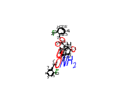 N[C@@]1(C(=O)OCc2ccccc2F)CC(=O)[C@H]2[C@H](C(=O)OCc3ccccc3F)[C@H]21